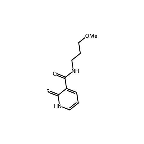 COCCCNC(=O)c1ccc[nH]c1=S